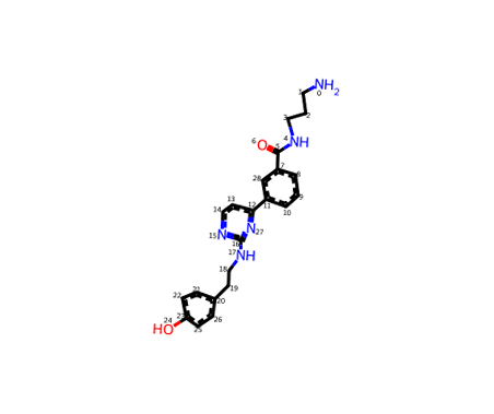 NCCCNC(=O)c1cccc(-c2ccnc(NCCc3ccc(O)cc3)n2)c1